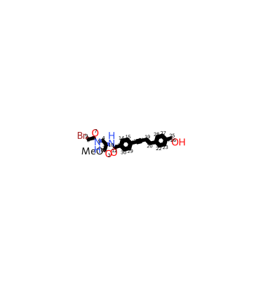 COC(=O)C(CNC(=O)CBr)NC(=O)c1ccc(C#CC=Cc2ccc(CO)cc2)cc1